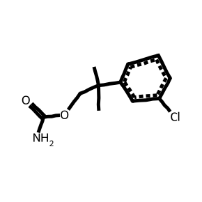 CC(C)(COC(N)=O)c1cccc(Cl)c1